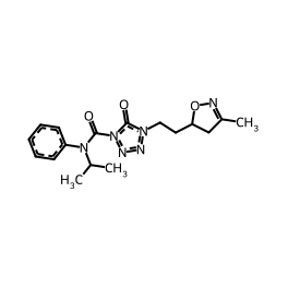 CC1=NOC(CCn2nnn(C(=O)N(c3ccccc3)C(C)C)c2=O)C1